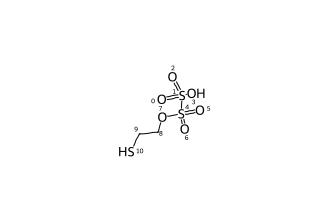 O=S(=O)(O)S(=O)(=O)OCCS